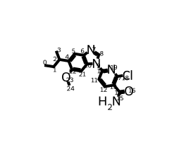 CCC(C)c1cc2ncn(-c3ccc(C(N)=O)c(Cl)n3)c2cc1OC